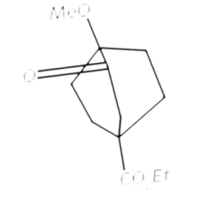 CCOC(=O)C12CCC(OC)(CC1)C(=O)C2